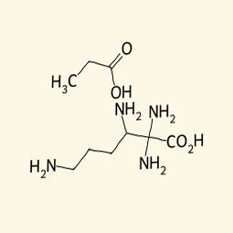 CCC(=O)O.NCCCC(N)C(N)(N)C(=O)O